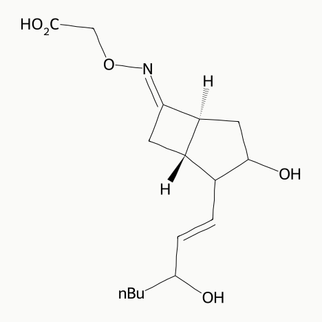 CCCCC(O)C=CC1C(O)C[C@@H]2C(=NOCC(=O)O)C[C@@H]12